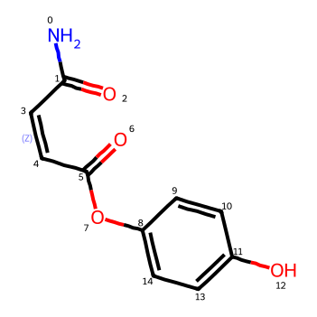 NC(=O)/C=C\C(=O)Oc1ccc(O)cc1